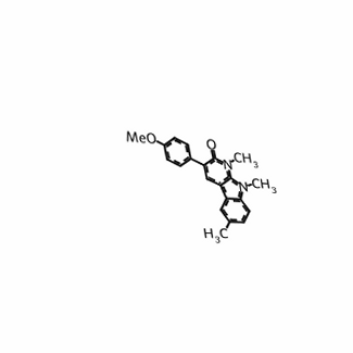 COc1ccc(-c2cc3c4cc(C)ccc4n(C)c3n(C)c2=O)cc1